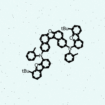 Cc1ccccc1N(c1ccc2c(ccc3oc4ccc5cc(N(c6ccccc6C)c6cccc7c6oc6c(C(C)(C)C)cccc67)ccc5c4c32)c1)c1cccc2c1oc1c(C(C)(C)C)cccc12